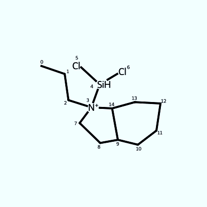 CCC[N+]1([SiH](Cl)Cl)CCC2CCCCC21